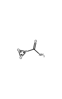 NC(=O)p1oo1